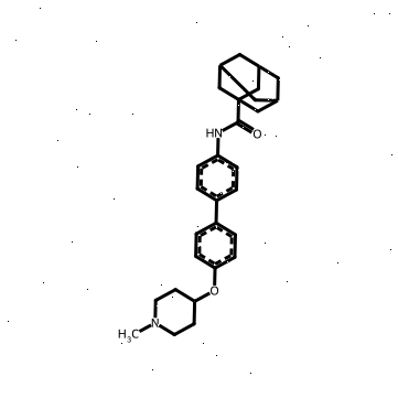 CN1CCC(Oc2ccc(-c3ccc(NC(=O)C45CC6CC(CC(C6)C4)C5)cc3)cc2)CC1